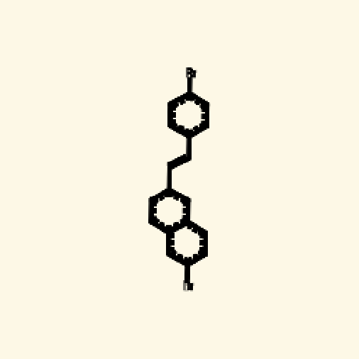 Brc1ccc(C=Cc2ccc3cc(Br)ccc3c2)cc1